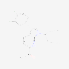 COCC(COC)n1cc(-c2ccc(Cl)c(F)c2)c2ccc(C(=O)OC)nc21